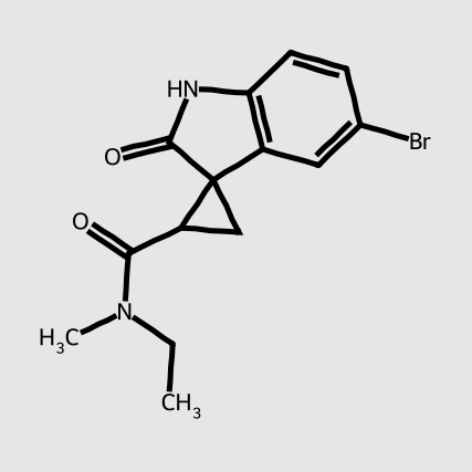 CCN(C)C(=O)C1CC12C(=O)Nc1ccc(Br)cc12